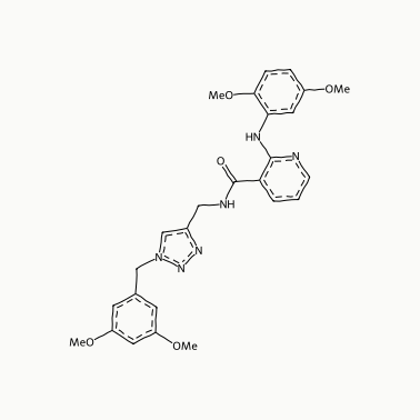 COc1cc(Cn2cc(CNC(=O)c3cccnc3Nc3cc(OC)ccc3OC)nn2)cc(OC)c1